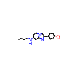 CCCCNc1ccn2cc(-c3ccc(OC)cc3)nc2c1